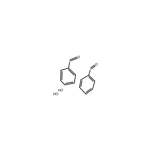 Cl.Cl.O=Ic1ccccc1.O=Ic1ccccc1